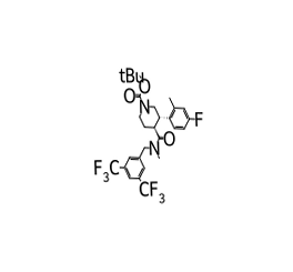 Cc1cc(F)ccc1[C@H]1CN(C(=O)OC(C)(C)C)CC[C@@H]1C(=O)N(C)Cc1cc(C(F)(F)F)cc(C(F)(F)F)c1